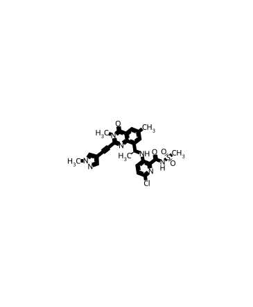 Cc1cc([C@@H](C)Nc2ccc(Cl)nc2C(=O)NS(C)(=O)=O)c2nc(C#Cc3cnn(C)c3)n(C)c(=O)c2c1